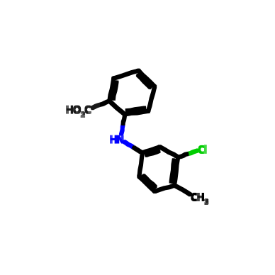 Cc1ccc(Nc2ccccc2C(=O)O)cc1Cl